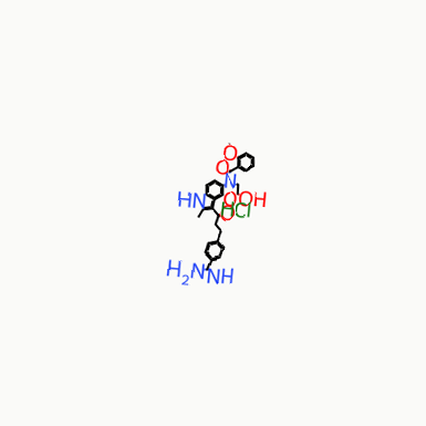 COc1ccccc1C(=O)N(CC(=O)O)c1ccc2[nH]c(C)c(C(=O)CCc3ccc(C(=N)N)cc3)c2c1.Cl